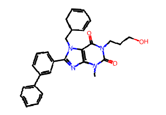 Cn1c(=O)n(CCCO)c(=O)c2c1nc(-c1cccc(-c3ccccc3)c1)n2CC1C=CC=CC1